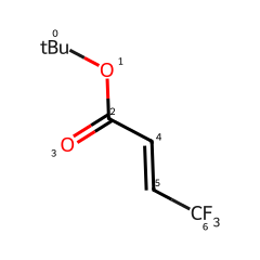 CC(C)(C)OC(=O)C=CC(F)(F)F